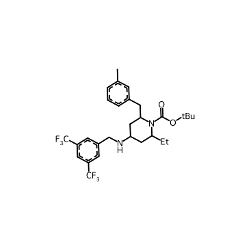 CCC1CC(NCc2cc(C(F)(F)F)cc(C(F)(F)F)c2)CC(Cc2cccc(C)c2)N1C(=O)OC(C)(C)C